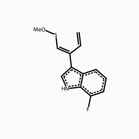 C=C/C(=C\SOC)c1c[nH]c2c(F)cccc12